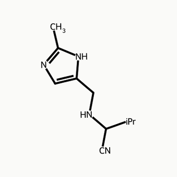 Cc1ncc(CNC(C#N)C(C)C)[nH]1